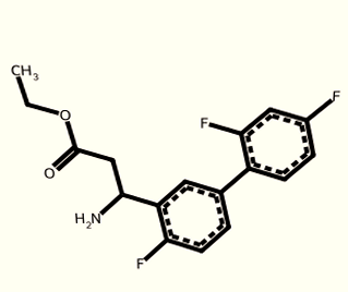 CCOC(=O)CC(N)c1cc(-c2ccc(F)cc2F)ccc1F